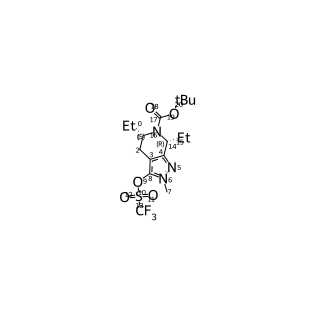 CC[C@H]1Cc2c(nn(C)c2OS(=O)(=O)C(F)(F)F)[C@@H](CC)N1C(=O)OC(C)(C)C